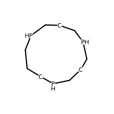 C1CPCCCPCCCPC1